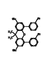 CC(C)c1cccc(-c2cc(C(C)(C)C)cc3c2Oc2c(-c4cccc(C(C)C)c4)cc(C(C)(C)C)cc2C3(C)C)c1